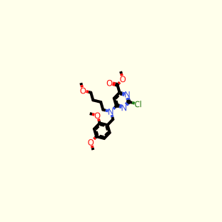 COCCCCN(Cc1ccc(OC)cc1OC)c1cc(C(=O)OC)nc(Cl)n1